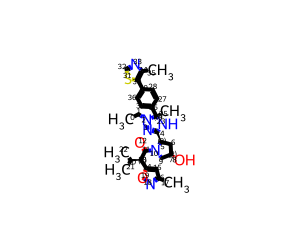 CCN1N=C([C@H]2C[C@@H](O)CN2C(=O)[C@@H](c2cc(C)no2)C(C)C)N[C@@]1(C)c1ccc(-c2scnc2C)cc1